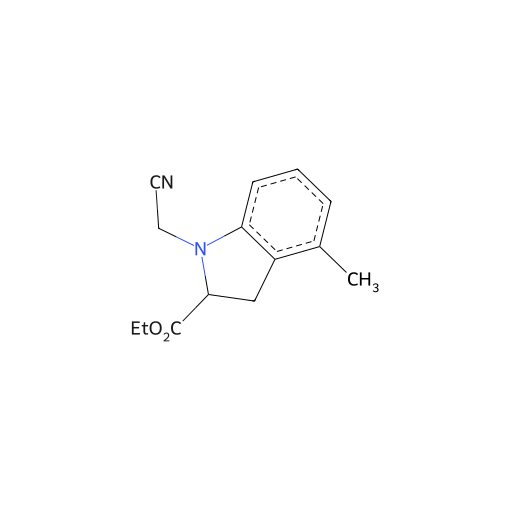 CCOC(=O)C1Cc2c(C)cccc2N1CC#N